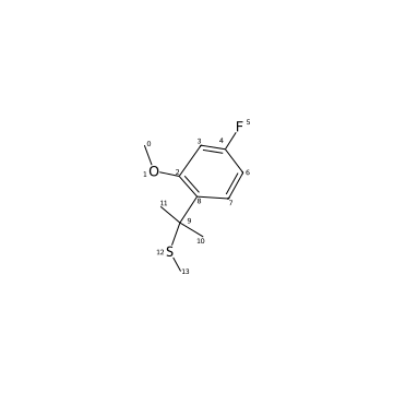 COc1cc(F)ccc1C(C)(C)SC